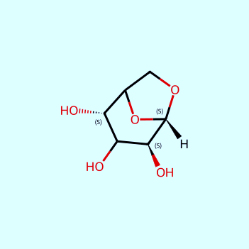 OC1[C@H](O)C2CO[C@@H](O2)[C@H]1O